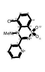 CNN1C(c2ccccn2)=NS(=O)(=O)c2cccc(Cl)c21